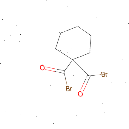 O=C(Br)C1(C(=O)Br)CCCCC1